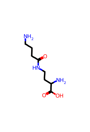 NCCCC(=O)NCCC(N)C(=O)O